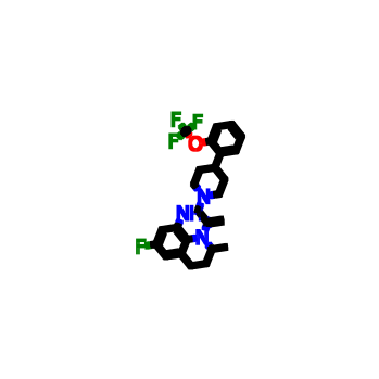 C=C(CN1CCC(c2ccccc2OC(F)(F)F)CC1)N1c2c(N)cc(F)cc2CCC1C